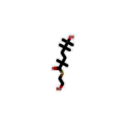 CC(C)(CCC(C)(C)[Si](C)(C)O)C(=O)SCCO